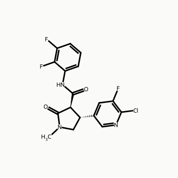 CN1C[C@@H](c2cnc(Cl)c(F)c2)[C@H](C(=O)Nc2cccc(F)c2F)C1=O